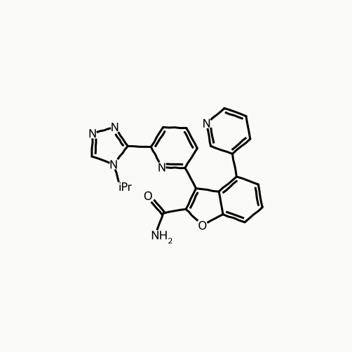 CC(C)n1cnnc1-c1cccc(-c2c(C(N)=O)oc3cccc(-c4cccnc4)c23)n1